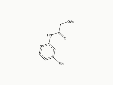 CC(=O)OCC(=O)Nc1cc(C(C)(C)C)ccn1